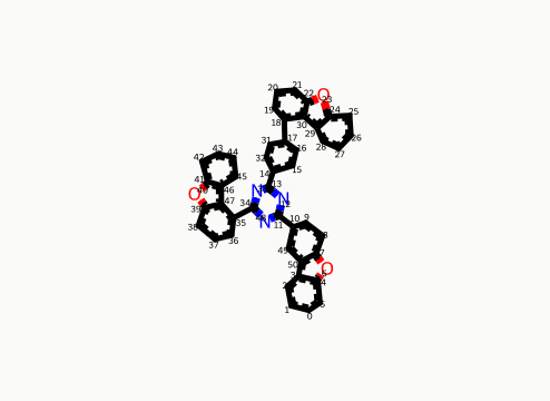 c1ccc2c(c1)oc1ccc(-c3nc(-c4ccc(-c5cccc6oc7ccccc7c56)cc4)nc(-c4cccc5oc6ccccc6c45)n3)cc12